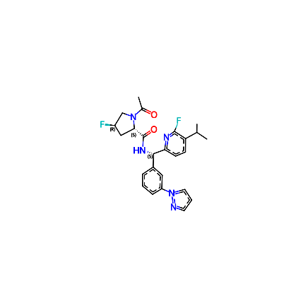 CC(=O)N1C[C@H](F)C[C@H]1C(=O)N[C@@H](c1cccc(-n2cccn2)c1)c1ccc(C(C)C)c(F)n1